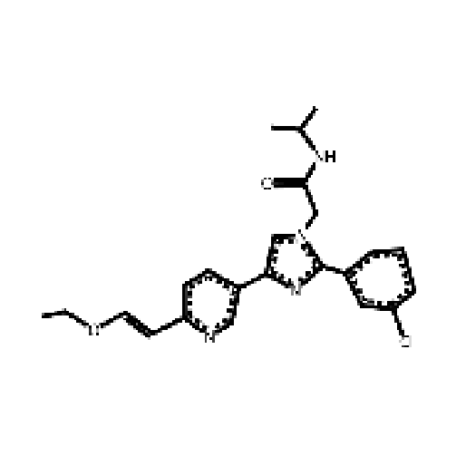 CCOC=Cc1ccc(-c2cn(CC(=O)NC(C)C)c(-c3cccc(Cl)c3)n2)cn1